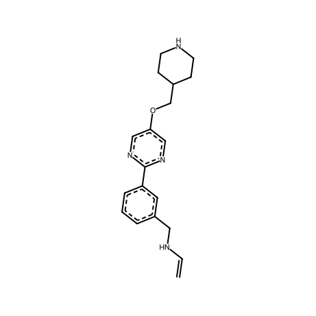 C=CNCc1cccc(-c2ncc(OCC3CCNCC3)cn2)c1